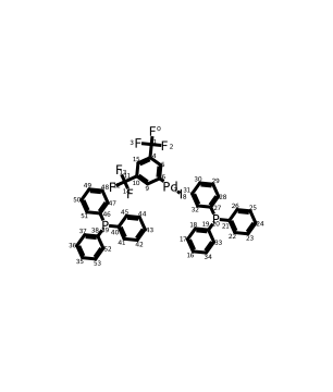 FC(F)(F)c1c[c]([Pd][I])cc(C(F)(F)F)c1.c1ccc(P(c2ccccc2)c2ccccc2)cc1.c1ccc(P(c2ccccc2)c2ccccc2)cc1